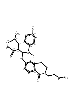 COCCN1CCc2cc(CC([C@H](CC(C)C)C(N)=O)[S+]([O-])c3ccc(Cl)cc3)ccc2C1=O